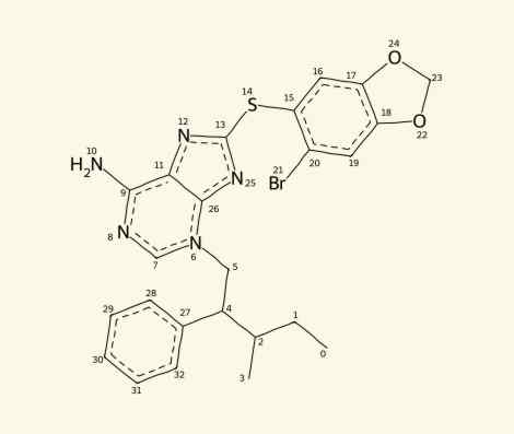 CCC(C)C(Cn1cnc(N)c2nc(Sc3cc4c(cc3Br)OCO4)nc1-2)c1ccccc1